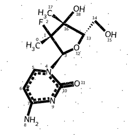 C[C@]1(F)[C@H](n2ccc(N)nc2=O)O[C@@H](CO)[C@@]1(C)O